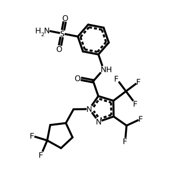 NS(=O)(=O)c1cccc(NC(=O)c2c(C(F)(F)F)c(C(F)F)nn2CC2CCC(F)(F)C2)c1